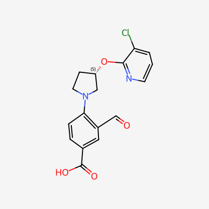 O=Cc1cc(C(=O)O)ccc1N1CC[C@H](Oc2ncccc2Cl)C1